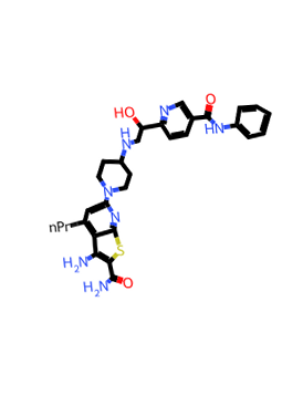 CCCc1cc(N2CCC(NCC(O)c3ccc(C(=O)Nc4ccccc4)cn3)CC2)nc2sc(C(N)=O)c(N)c12